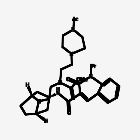 COC(=O)N(CCN1CCN(C(C)=O)CC1)CCN1[C@@H]2CC[C@H]1C[C@@H](NC(=O)c1cc3ccccc3n(C(C)C)c1=O)C2